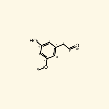 COc1cc(O)cc(CC=O)c1